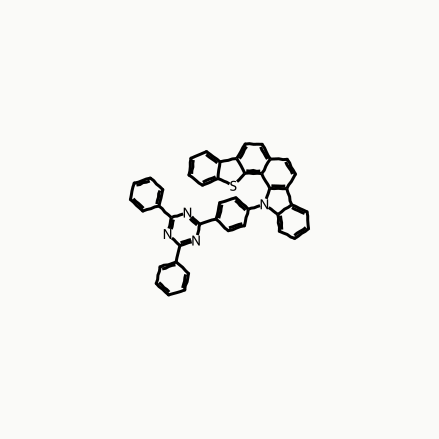 c1ccc(-c2nc(-c3ccccc3)nc(-c3ccc(-n4c5ccccc5c5ccc6ccc7c8ccccc8sc7c6c54)cc3)n2)cc1